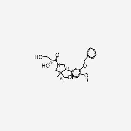 COc1ccc([C@@H]2CN(C(=O)[C@H](O)CO)C[C@@]2(C)[C@@H](C)O)cc1OCc1ccccc1